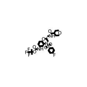 CC(C)(OC(=O)Nc1ccc2c(c1)N(S(=O)(=O)c1ccc(F)cc1)C[C@@H](CNC(=O)C1CCOCC1)O2)C(F)(F)F